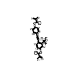 C=C(C)C(=O)Sc1ccc(C#Cc2ccc(SC(=O)C(=C)C)cc2C(F)(F)F)cc1